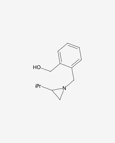 CC(C)C1CN1Cc1ccccc1CO